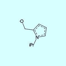 CC(C)n1cccc1C[O]